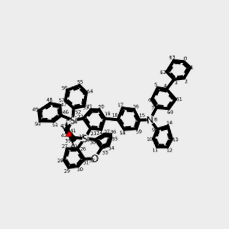 c1ccc(-c2ccc(N(c3ccccc3)c3ccc(-c4ccc5c(c4)[Si]4(c6ccccc6Oc6ccccc64)c4ccccc4[Si]5(c4ccccc4)c4ccccc4)cc3)cc2)cc1